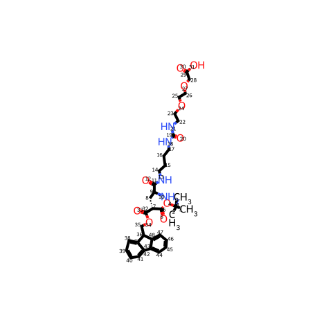 CC(C)(C)OC(=O)[C@@H](CC(N)C(=O)NCCCCNC(=O)NCCOCCOCC(=O)O)C(=O)OCC1c2ccccc2-c2ccccc21